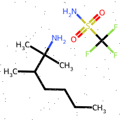 CCCCC(C)C(C)(C)N.NS(=O)(=O)C(F)(F)F